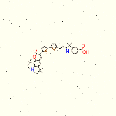 CC1(C)CCN2CCC(C)(C)c3c2c1cc1cc(-c2ccc(-c4ccc(/C=C/C5=Nc6ccc(C(=O)O)cc6C5(C)C)s4)s2)c(=O)oc31